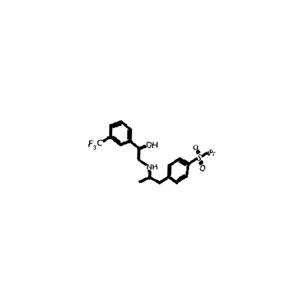 CC(Cc1ccc(S(=O)(=O)C(C)C)cc1)NCC(O)c1cccc(C(F)(F)F)c1